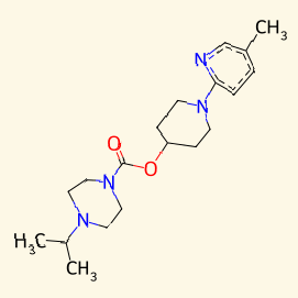 Cc1ccc(N2CCC(OC(=O)N3CCN(C(C)C)CC3)CC2)nc1